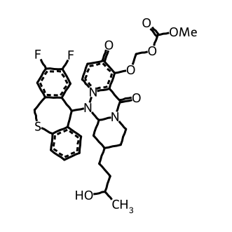 COC(=O)OCOc1c2n(ccc1=O)N(C1c3cc(F)c(F)cc3CSc3ccccc31)C1CC(CCC(C)O)CCN1C2=O